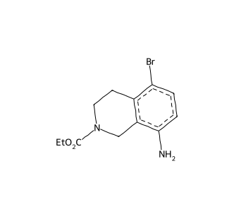 CCOC(=O)N1CCc2c(Br)ccc(N)c2C1